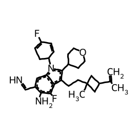 C=C(C)C1CC(C)(CCc2c(C3CCOCC3)n(C3C=CC(F)=CC3)c3cc(C=N)c(N)c(F)c23)C1